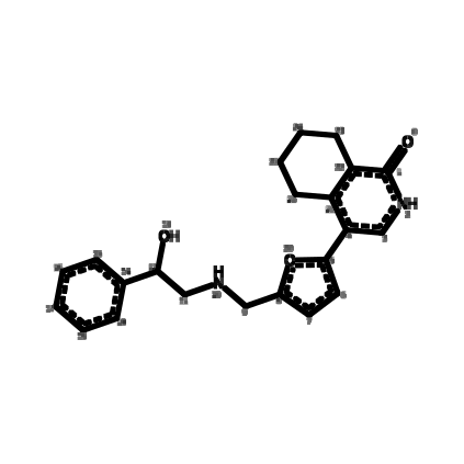 O=c1[nH]cc(-c2ccc(CNCC(O)c3ccccc3)o2)c2c1CCCC2